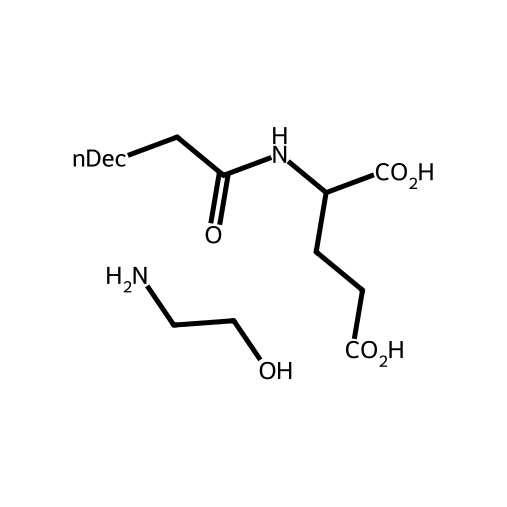 CCCCCCCCCCCC(=O)NC(CCC(=O)O)C(=O)O.NCCO